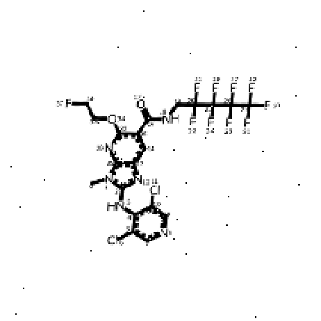 Cn1c(Nc2c(Cl)cncc2Cl)nc2cc(C(=O)NCC(F)(F)C(F)(F)C(F)(F)C(F)(F)F)c(OCCF)nc21